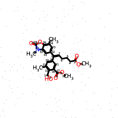 COC(=O)CCC/C=C(\c1cc(C)c(CO)c(C(=O)OC)c1)c1cc(C)c2oc(=O)n(C)c2c1